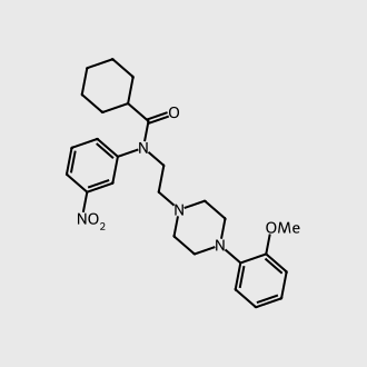 COc1ccccc1N1CCN(CCN(C(=O)C2CCCCC2)c2cccc([N+](=O)[O-])c2)CC1